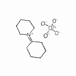 C1CCC(=[N+]2CCCCC2)CC1.[O-][Cl+3]([O-])([O-])[O-]